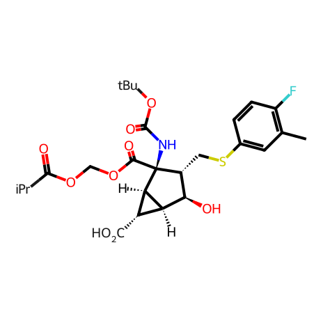 Cc1cc(SC[C@@H]2[C@@H](O)[C@H]3[C@H](C(=O)O)[C@H]3[C@]2(NC(=O)OC(C)(C)C)C(=O)OCOC(=O)C(C)C)ccc1F